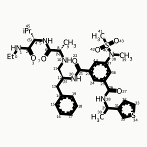 CCNC(=O)[C@@H](NC(=O)[C@H](C)NC[C@H](Cc1ccccc1)NC(=O)c1cc(C(=O)NC(C)c2ccsc2)cc(N(C)S(C)(=O)=O)c1)C(C)C